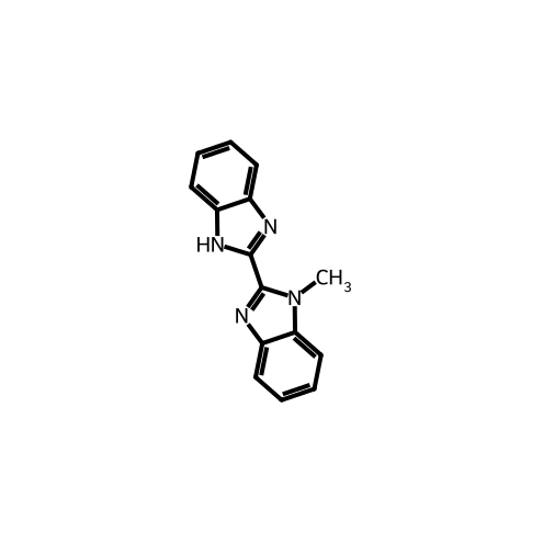 Cn1c(-c2nc3ccccc3[nH]2)nc2ccccc21